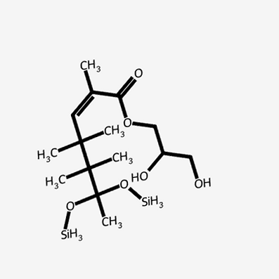 CC(=CC(C)(C)C(C)(C)C(C)(O[SiH3])O[SiH3])C(=O)OCC(O)CO